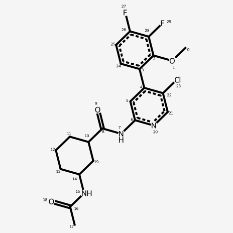 COc1c(-c2cc(NC(=O)C3CCCC(NC(C)=O)C3)ncc2Cl)ccc(F)c1F